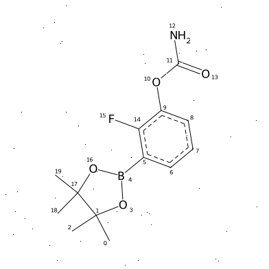 CC1(C)OB(c2cccc(OC(N)=O)c2F)OC1(C)C